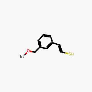 CCOCc1cccc(/C=C/S)c1